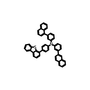 c1cc(-c2ccc3ccccc3c2)cc(N(c2ccc(-c3cccc4c3sc3ccccc34)cc2)c2cccc(-c3cccc4ccccc34)c2)c1